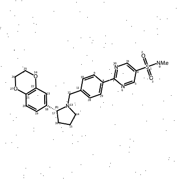 CNS(=O)(=O)c1cnc(-c2ccc(CN3CCC[C@@H]3c3ccc4c(c3)OCCO4)cc2)nc1